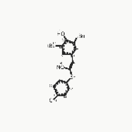 CC(C)(C)c1cc(/C=C(\C#N)Sc2ccc(Cl)cc2)cc(C(C)(C)C)c1O